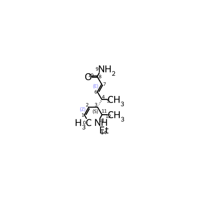 C/C=C\[C@H](C(C)/C=C/C(N)=O)C(C)NCC